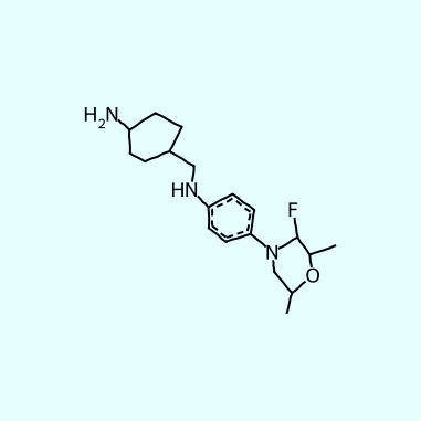 CC1CN(c2ccc(NCC3CCC(N)CC3)cc2)C(F)C(C)O1